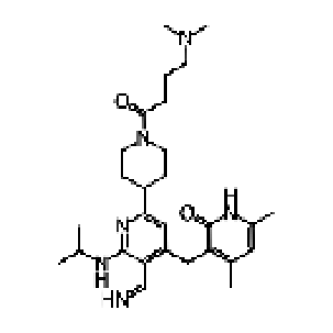 Cc1cc(C)c(Cc2cc(C3CCN(C(=O)CCCN(C)C)CC3)nc(NC(C)C)c2C=N)c(=O)[nH]1